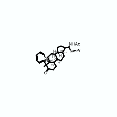 CC(=O)NC(SC(C)C)C1CC[C@H]2[C@@H]3CC[C@H]4C(C)(C5=CC=CC=CN5)C(=O)CC[C@]4(C)[C@H]3CC[C@]12C